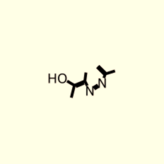 C=C(C)/N=N\C(C)=C(/C)O